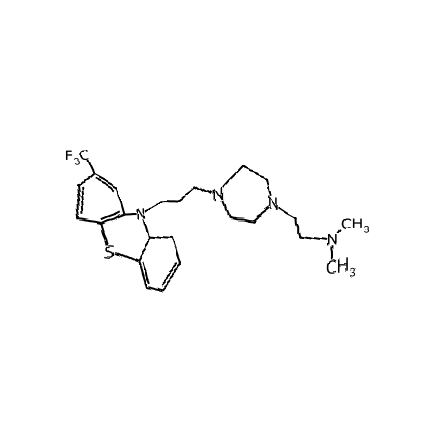 CN(C)CCN1CCN(CCCN2c3cc(C(F)(F)F)ccc3SC3=CC=CCC32)CC1